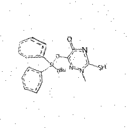 Cn1nc(O[Si](c2ccccc2)(c2ccccc2)C(C)(C)C)c(=O)nc1S